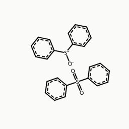 O=S(=O)(c1ccccc1)c1ccccc1.[O-][S+](c1ccccc1)c1ccccc1